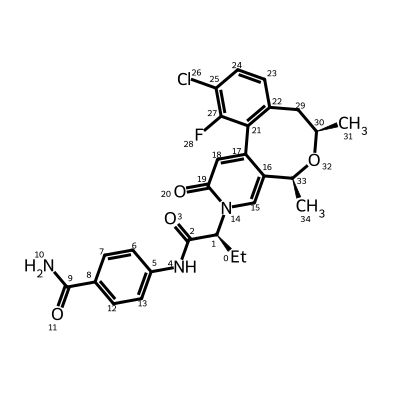 CC[C@@H](C(=O)Nc1ccc(C(N)=O)cc1)n1cc2c(cc1=O)-c1c(ccc(Cl)c1F)C[C@@H](C)O[C@H]2C